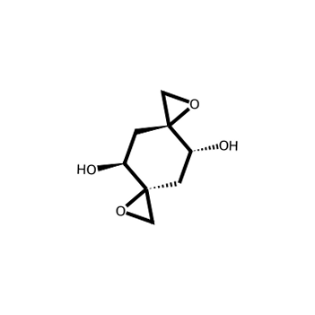 O[C@@H]1C[C@@]2(CO2)[C@@H](O)C[C@]12CO2